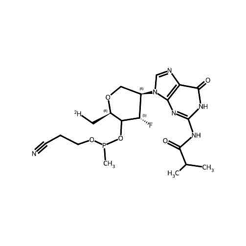 [2H]C[C@H]1OC[C@@H](n2cnc3c(=O)[nH]c(NC(=O)C(C)C)nc32)[C@H](F)C1OP(C)OCCC#N